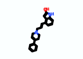 Oc1cc2c(C=CCN3CC=C(c4ccccc4)CC3)cccc2[nH]1